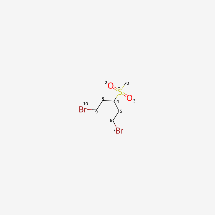 CS(=O)(=O)C(CCBr)CCBr